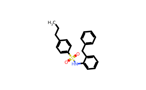 CCCc1ccc(S(=O)(=O)Nc2ccccc2Cc2ccccc2)cc1